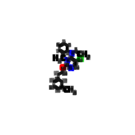 C=CN(c1ccccc1C)c1nc(OCCc2cccc(C)c2)ncc1Cl